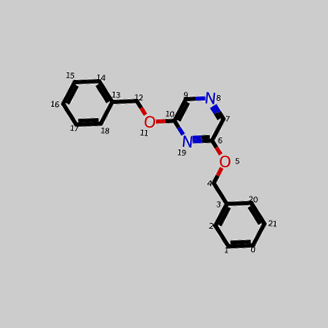 c1ccc(COc2cncc(OCc3ccccc3)n2)cc1